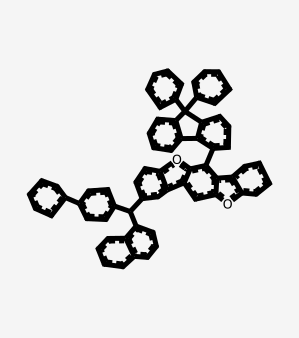 c1ccc(-c2ccc(C(c3ccc4oc5c(-c6cccc7c6-c6ccccc6C7(c6ccccc6)c6ccccc6)c6c(cc5c4c3)oc3ccccc36)c3cccc4ccccc34)cc2)cc1